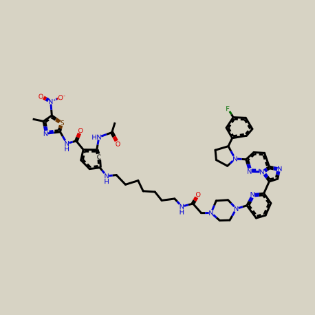 CC(=O)Nc1cc(NCCCCCCCNC(=O)CN2CCN(c3cccc(-c4cnc5ccc(N6CCCC6c6cccc(F)c6)nn45)n3)CC2)ccc1C(=O)Nc1nc(C)c([N+](=O)[O-])s1